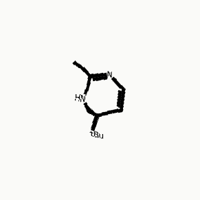 CC1=NC=CC(C(C)(C)C)N1